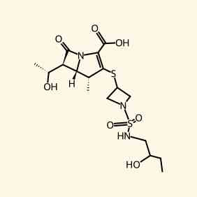 CCC(O)CNS(=O)(=O)N1CC(SC2=C(C(=O)O)N3C(=O)[C@H]([C@@H](C)O)[C@H]3[C@H]2C)C1